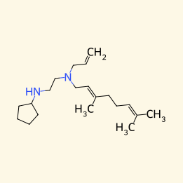 C=CCN(C/C=C(\C)CCC=C(C)C)CCNC1CCCC1